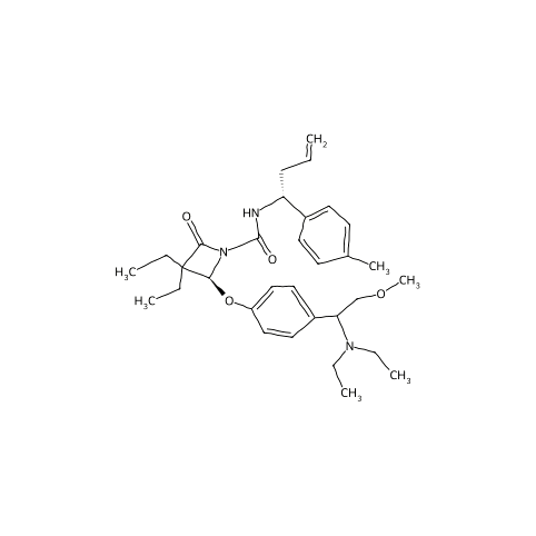 C=CC[C@@H](NC(=O)N1C(=O)C(CC)(CC)[C@@H]1Oc1ccc(C(COC)N(CC)CC)cc1)c1ccc(C)cc1